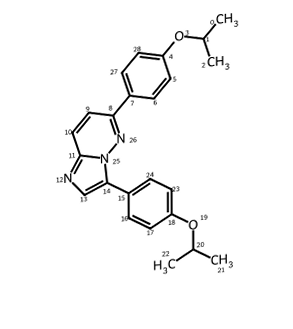 CC(C)Oc1ccc(-c2ccc3ncc(-c4ccc(OC(C)C)cc4)n3n2)cc1